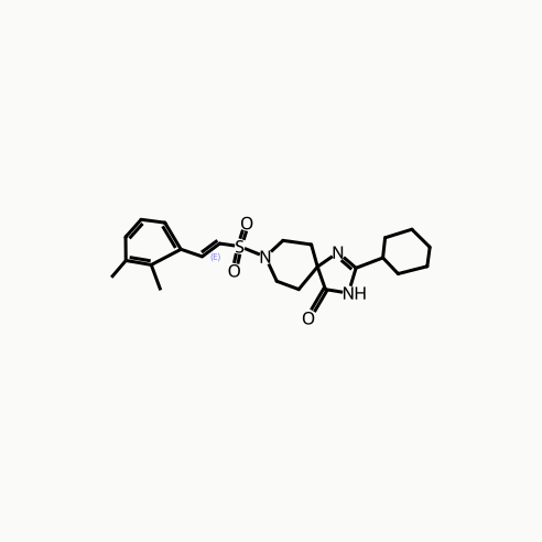 Cc1cccc(/C=C/S(=O)(=O)N2CCC3(CC2)N=C(C2CCCCC2)NC3=O)c1C